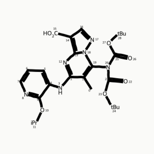 Cc1c(Nc2cccnc2OC(C)C)nc2c(C(=O)O)cnn2c1N(C(=O)OC(C)(C)C)C(=O)OC(C)(C)C